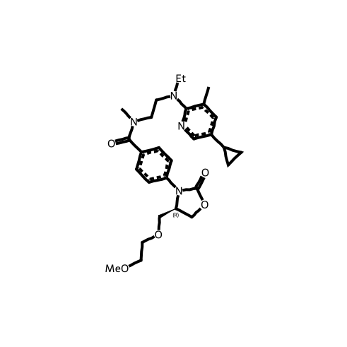 CCN(CCN(C)C(=O)c1ccc(N2C(=O)OC[C@H]2COCCOC)cc1)c1ncc(C2CC2)cc1C